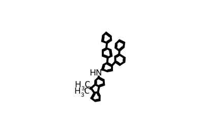 CC1(C)c2ccccc2-c2ccc(Nc3ccc(-c4cccc(-c5ccccc5)c4)c(-c4ccc(-c5ccccc5)cc4)c3)cc21